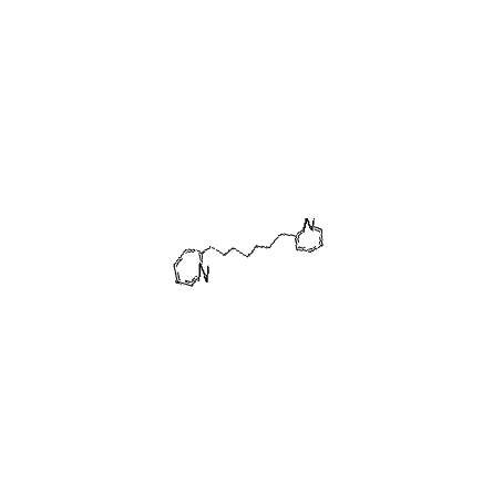 c1ccc(CCCCCCCc2ccccn2)nc1